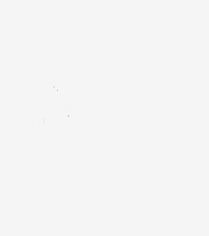 C[SiH](CN)CCCc1ccc(F)cc1F